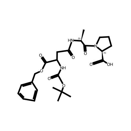 C[C@H](NC(=O)CC(NC(=O)OC(C)(C)C)C(=O)OCc1ccccc1)C(=O)N1CCC[C@H]1C(=O)O